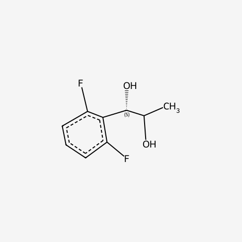 CC(O)[C@@H](O)c1c(F)cccc1F